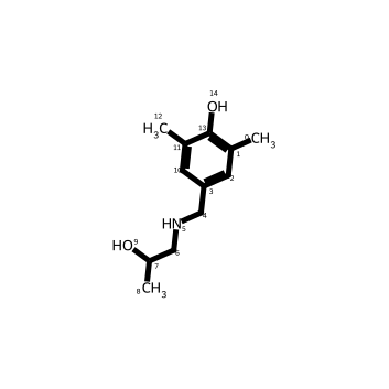 Cc1cc(CNCC(C)O)cc(C)c1O